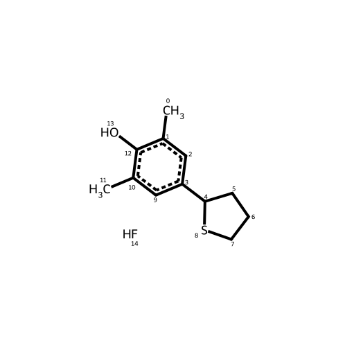 Cc1cc(C2CCCS2)cc(C)c1O.F